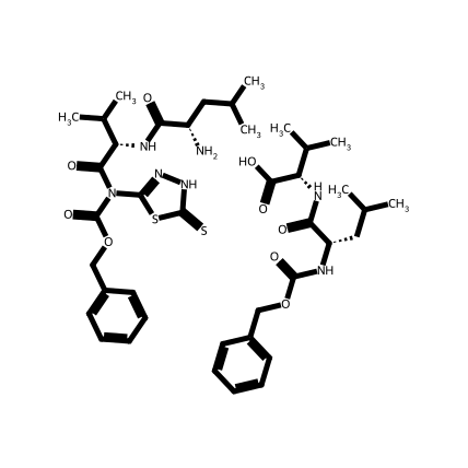 CC(C)C[C@H](N)C(=O)N[C@H](C(=O)N(C(=O)OCc1ccccc1)c1n[nH]c(=S)s1)C(C)C.CC(C)C[C@H](NC(=O)OCc1ccccc1)C(=O)N[C@H](C(=O)O)C(C)C